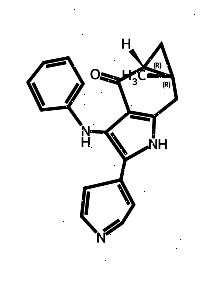 C[C@@]12Cc3[nH]c(-c4ccncc4)c(Nc4ccccc4)c3C(=O)[C@@H]1C2